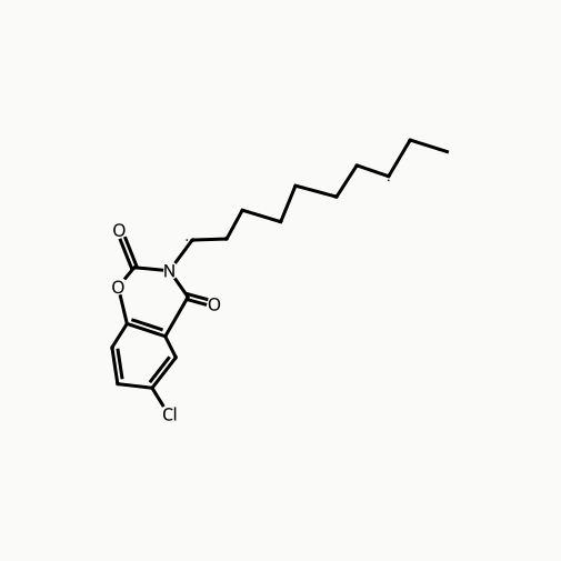 CC[CH]CCCCCC[CH]n1c(=O)oc2ccc(Cl)cc2c1=O